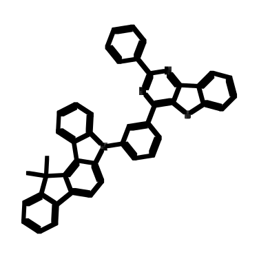 CC1(C)c2ccccc2-c2ccc3c(c21)c1ccccc1n3-c1cccc(-c2nc(-c3ccccc3)nc3c2sc2ccccc23)c1